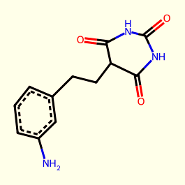 Nc1cccc(CCC2C(=O)NC(=O)NC2=O)c1